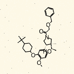 COc1ccc([C@@H]2CN(C(=O)COCc3ccccc3)C[C@@]2(C)[C@@H](C)O)cc1OC1CCC(C(C)(C)C)CC1